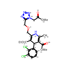 CCOC(=O)C1=C(COCc2nnnn2CC(=O)OC)NC(C)=C(C(=O)OC)C1c1cccc(Cl)c1Cl